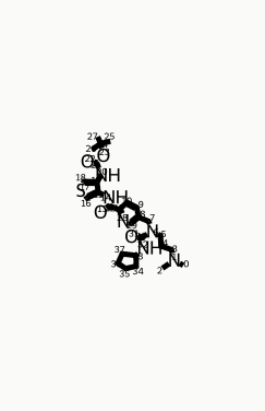 CN(C)CCCN(Cc1ccc(C(=O)Nc2cscc2NC(=O)OC(C)(C)C)nc1)C(=O)NC1CCCC1